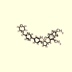 Cc1nc2nc(C)c(CC3CCN(c4ccc(-c5cnc(CN6CCOCC6)cn5)cc4)C3)c(C)n2n1